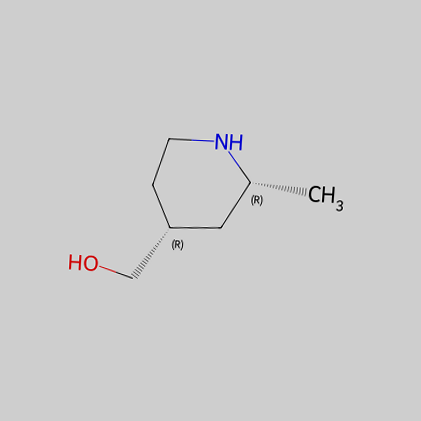 C[C@@H]1C[C@H](CO)CCN1